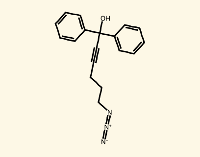 [N-]=[N+]=NCCCC#CC(O)(c1ccccc1)c1ccccc1